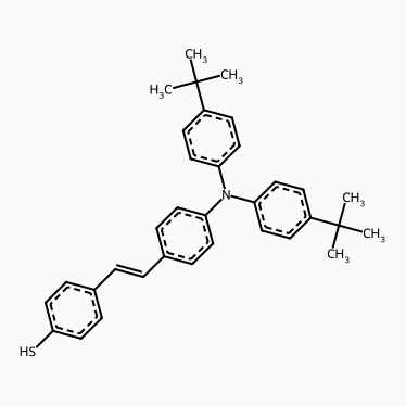 CC(C)(C)c1ccc(N(c2ccc(C=Cc3ccc(S)cc3)cc2)c2ccc(C(C)(C)C)cc2)cc1